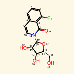 O=c1c2c(F)cccc2ccn1[C@@H]1O[C@H](CO)[C@@H](O)[C@H]1O